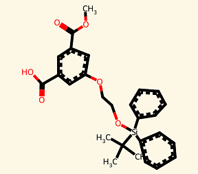 COC(=O)c1cc(OCCO[Si](c2ccccc2)(c2ccccc2)C(C)(C)C)cc(C(=O)O)c1